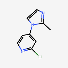 Cc1nccn1-c1ccnc(Cl)c1